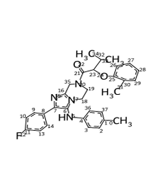 Cc1ccc(Nc2c(-c3ccc(F)cc3)nc3n2CCN(C(=O)C(Oc2ccccc2C)C(C)C)C3)cc1